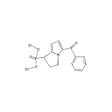 CCOP(=O)(OCC)C1CCn2c(C(=O)c3ccccc3)ccc21